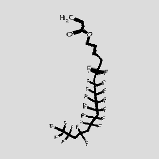 C=CC(=O)OCCCCC(F)(F)C(F)(F)C(F)(F)C(F)(F)C(F)(F)C(F)(F)C(F)(F)CC(F)(F)CC(F)(F)C(F)(F)F